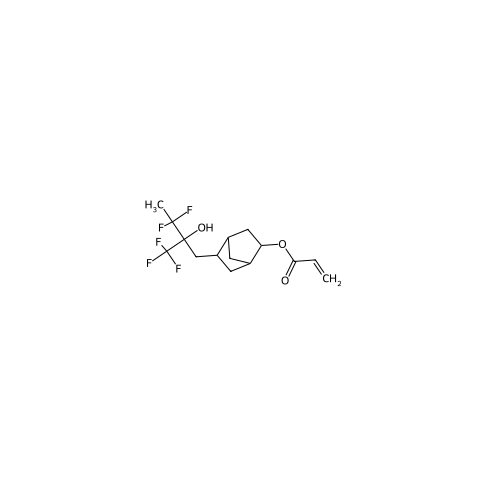 C=CC(=O)OC1CC2CC1CC2CC(O)(C(C)(F)F)C(F)(F)F